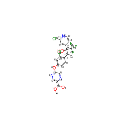 COC(=O)c1cnc(Oc2ccc(C(C)C(O)(c3ccnc(Cl)c3)C(F)(F)F)c(Cl)c2)cn1